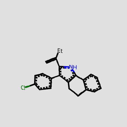 C=C(CC)c1[nH]c2c(c1-c1ccc(Cl)cc1)CCc1ccccc1-2